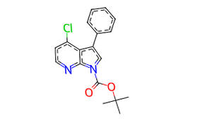 CC(C)(C)OC(=O)n1cc(-c2ccccc2)c2c(Cl)ccnc21